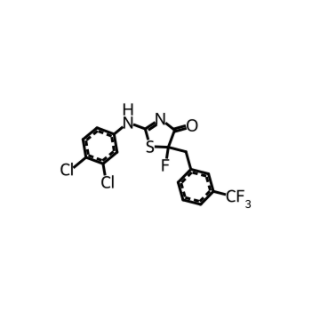 O=C1N=C(Nc2ccc(Cl)c(Cl)c2)SC1(F)Cc1cccc(C(F)(F)F)c1